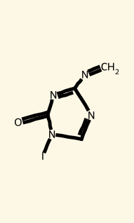 C=Nc1ncn(I)c(=O)n1